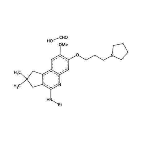 CCNc1nc2cc(OCCCN3CCCC3)c(OC)cc2c2c1CC(C)(C)C2.O=CO